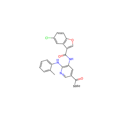 CNC(=O)c1cnc(Nc2ccccc2C)c(NC(=O)c2coc3ccc(Cl)cc23)c1